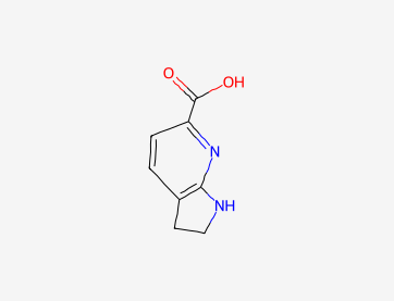 O=C(O)c1ccc2c(n1)NCC2